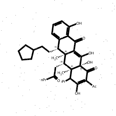 CCCC(=O)C[C@@H]1[C@]2(C)C(=C(O)[C@@]3(O)C(=O)C(C(C)=O)=C(O)C(C(C)C)[C@@]13C)C(=O)c1c(O)cccc1[C@H]2CCC1CCCC1